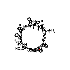 CCCC[C@H]1C(=O)N(C)[C@@H](C)C(=O)N[C@@H](CC(=O)O)C(=O)N[C@@H](C(C)C)C(=O)N(C)[C@@H](Cc2ccccc2)C(=O)N[C@@H](Cc2ccc(O)cc2)C(=O)N(C)CC(=O)N[C@@H](Cc2c[nH]c3ccccc23)C(=O)N[C@@H](Cc2ccc(O)cc2)C(=O)N[C@@H](CC(C)C)C(=O)N[C@H](C(=O)NCC(N)=O)CSCC(=O)N[C@@H](Cc2ccccc2)C(=O)N(C)[C@@H](Cc2ccccc2)C(=O)N1C